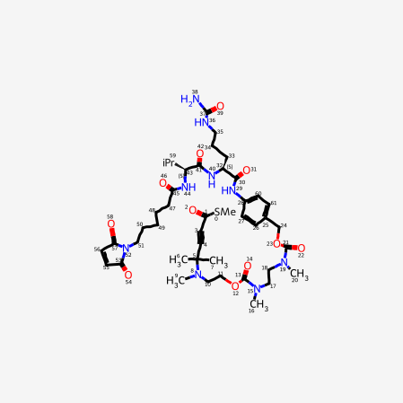 CSC(=O)C#CC(C)(C)N(C)CCOC(=O)N(C)CCN(C)C(=O)OCc1ccc(NC(=O)[C@H](CCCNC(N)=O)NC(=O)[C@@H](NC(=O)CCCCCN2C(=O)C=CC2=O)C(C)C)cc1